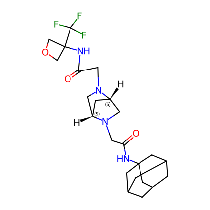 O=C(CN1C[C@@H]2C[C@H]1CN2CC(=O)NC1(C(F)(F)F)COC1)NC12CC3CC(CC(C3)C1)C2